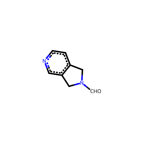 O=CN1Cc2ccncc2C1